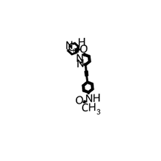 CC(=O)Nc1ccc(C#Cc2ccc(O[C@H]3CN4CCC3CC4)nn2)cc1